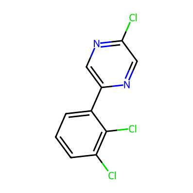 Clc1cnc(-c2cccc(Cl)c2Cl)cn1